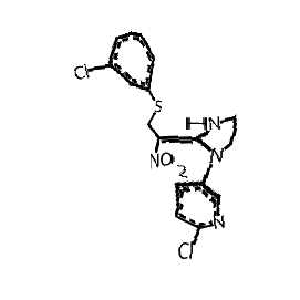 O=[N+]([O-])C(CSc1cccc(Cl)c1)=C1NCCN1c1ccc(Cl)nc1